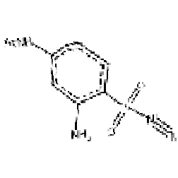 CC(=O)Nc1ccc(S(=O)(=O)[N+]#N)c(N)c1